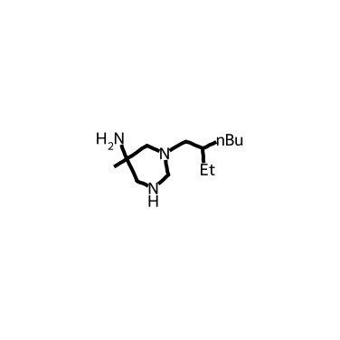 CCCCC(CC)CN1CNCC(C)(N)C1